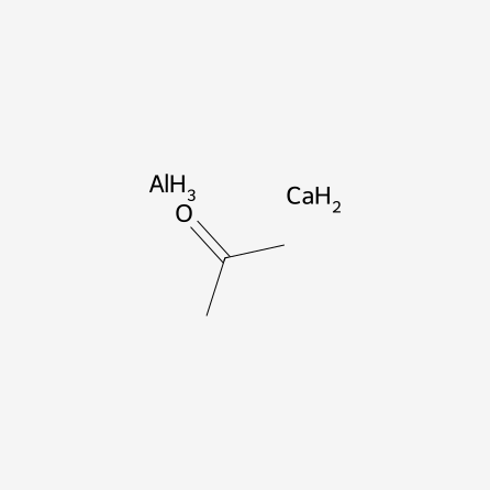 CC(C)=O.[AlH3].[CaH2]